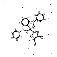 O=c1[nH]n(C(OCc2ccccc2)(OCc2ccccc2)c2ccccc2)oc1=O